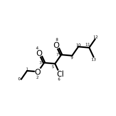 CCOC(=O)C(Cl)C(=O)CCC(C)C